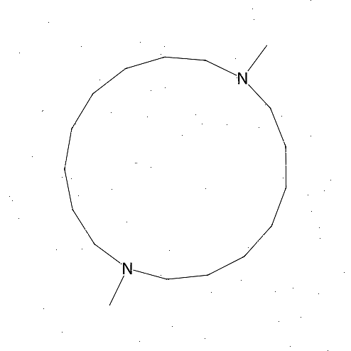 CN1CCCCCCCCN(C)CCCCCCC1